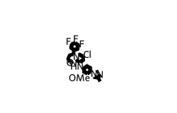 COc1cc(NC2=CC(Cl)=CN3C2=NOCCC3c2cc(F)c(F)c(F)c2)ccc1-n1cnc(C)c1